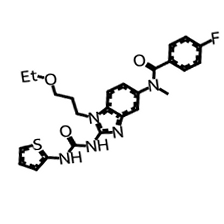 CCOCCCn1c(NC(=O)Nc2cccs2)nc2cc(N(C)C(=O)c3ccc(F)cc3)ccc21